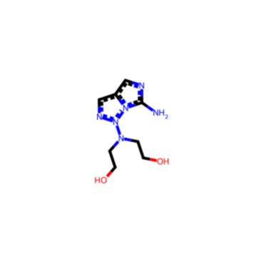 Nc1ncc2cnn(N(CCO)CCO)n12